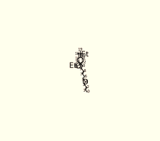 CC=CCOCCC=CCCC1(OCC)CCC(C(C)(C)CC)CC1